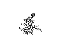 N=C(NCc1ccncc1)NC1C(O)[C@@H](CO)OC(OC2C(F)[C@H](O[C@H]3OC(CN)[C@@H](O)CC3N)C(N)C[C@H]2NC(=O)[C@@H](O)CCN)[C@@H]1O